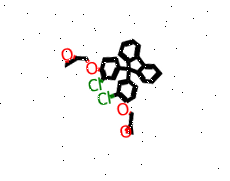 Clc1cc(C2(c3ccc(OCC4CO4)c(Cl)c3)c3ccccc3-c3ccccc32)ccc1OCC1CO1